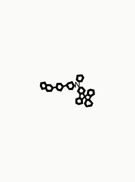 c1ccc(N(c2ccc(-c3ccc(-c4ccc5ccccc5c4)cc3)cc2)c2ccc3c(c2)-c2ccccc2C32c3ccccc3-c3ccccc32)cc1